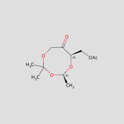 CC(=O)OC[C@H]1O[C@@H](C)OC(C)(C)OCC1=O